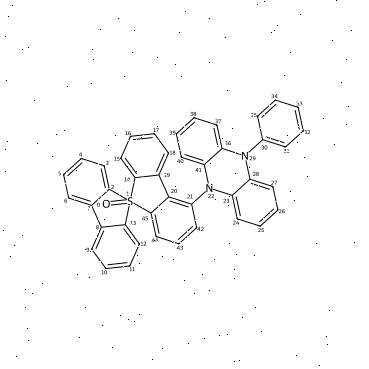 O=S12(c3ccccc3-c3ccccc31)c1ccccc1-c1c(N3c4ccccc4N(c4ccccc4)c4ccccc43)cccc12